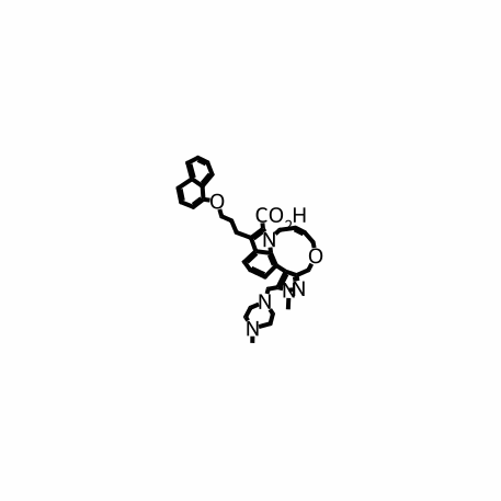 CN1CCN(Cc2c3c(nn2C)COC/C=C\Cn2c(C(=O)O)c(CCCOc4cccc5ccccc45)c4cccc-3c42)CC1